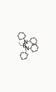 CCB(N(c1ccccc1)c1ccccc1)N(c1ccccc1)c1ccccc1